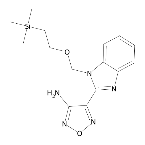 C[Si](C)(C)CCOCn1c(-c2nonc2N)nc2ccccc21